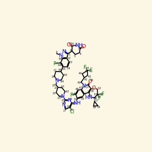 Cn1nc(C2CCC(=O)NC2=O)c2ccc(C3CCN(CC4CCN(c5ncc(Cl)c(Nc6cc7c8c(c(=O)n(CC9CC(F)(F)C9)c7cc6F)OCC(F)(F)[C@H](C6CC6)N8)n5)CC4)CC3)c(F)c21